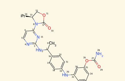 CC(Nc1nccc(N2C(=O)OC[C@@H]2C(C)C)n1)c1ccc(Nc2cccc(OC(N)=O)c2)cc1